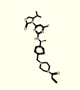 C=CC(=O)N1CCN(Cc2ccc([C@H](C)Nc3nc(F)cc(N4C(=O)OCC4C(C)C)n3)cc2)CC1